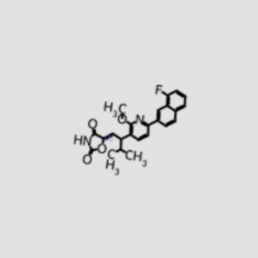 COc1nc(-c2ccc3cccc(F)c3c2)ccc1C(/C=C1\OC(=O)NC1=O)C(C)C